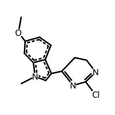 COc1ccc2c(C3=NC(Cl)=NCC3)cn(C)c2c1